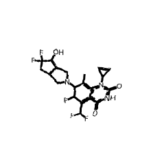 CC1=c2c(c(=O)[nH]c(=O)n2C2CC2)=C(C(F)F)C(F)C1N1CC2CC(F)(F)C(O)C2C1